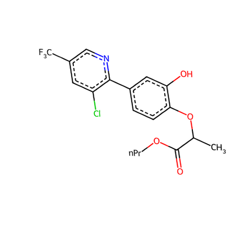 CCCOC(=O)C(C)Oc1ccc(-c2ncc(C(F)(F)F)cc2Cl)cc1O